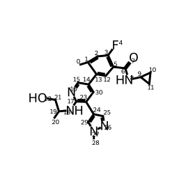 Cc1cc(F)c(C(=O)NC2CC2)cc1-c1cnc(NC(C)CO)c(-c2cnn(C)c2)c1